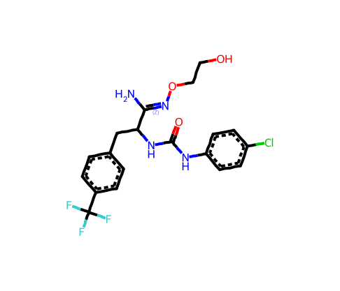 N/C(=N\OCCO)C(Cc1ccc(C(F)(F)F)cc1)NC(=O)Nc1ccc(Cl)cc1